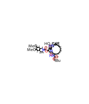 COc1cc2c(cc1OC)CN(C(=O)O[C@@H]1C[C@H]3C(=O)N[C@]4(C(=O)O)C[C@H]4C=CCCCCC[C@H](NC(=O)OC(C)(C)C)C(=O)N3C1)CC2